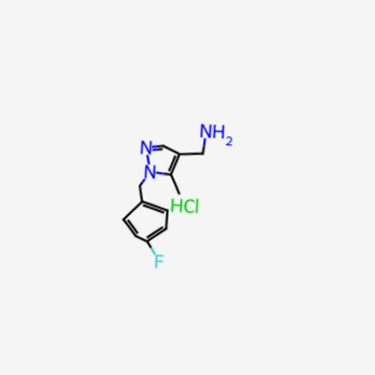 Cc1c(CN)cnn1Cc1ccc(F)cc1.Cl